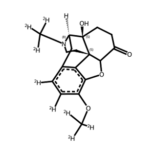 [2H]c1c([2H])c(OC([2H])([2H])[2H])c2c3c1C[C@H]1N(C([2H])([2H])[2H])CC[C@@]34C(O2)C(=O)CC[C@@]14O